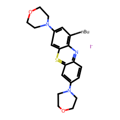 CCCCc1cc(N2CCOCC2)cc2[s+]c3cc(N4CCOCC4)ccc3nc12.[I-]